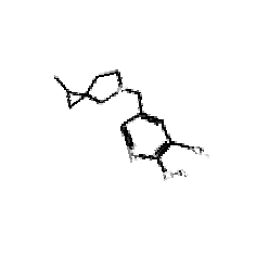 CC1CC12CCN(Cc1cnc(C=O)c(C(F)(F)F)c1)C2